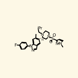 Cc1cc2c(cnn2-c2ccc(F)cc2)cc1[C@H]1CN(S(=O)(=O)c2ccn(C)n2)CCN1CC(C)C